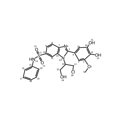 COc1cc(-c2nc3ccc(S(=O)(=O)Nc4ccccc4)cc3n2C(CO)CCl)cc(O)c1O